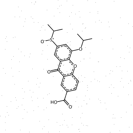 CC(C)Oc1cc([S+]([O-])C(C)C)cc2c(=O)c3cc(C(=O)O)ccc3oc12